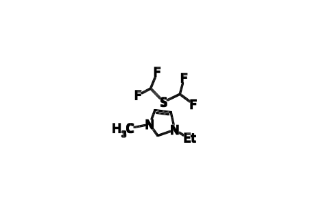 CCN1C=CN(C)C1.FC(F)SC(F)F